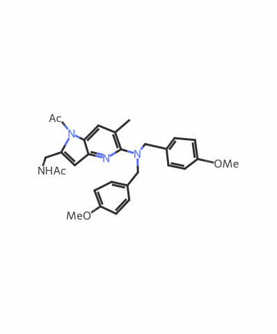 COc1ccc(CN(Cc2ccc(OC)cc2)c2nc3cc(CNC(C)=O)n(C(C)=O)c3cc2C)cc1